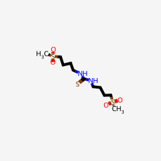 CS(=O)(=O)CCCCNC(=S)NCCCCS(C)(=O)=O